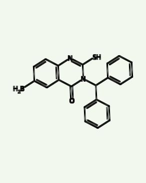 Bc1ccc2nc(S)n(C(c3ccccc3)c3ccccc3)c(=O)c2c1